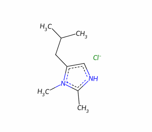 Cc1[nH]cc(CC(C)C)[n+]1C.[Cl-]